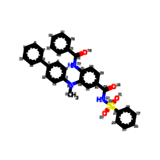 CN(c1ccc(-c2ccccc2)cc1)c1cc(C(=O)NS(=O)(=O)c2ccccc2)ccc1NC(=O)c1ccccc1